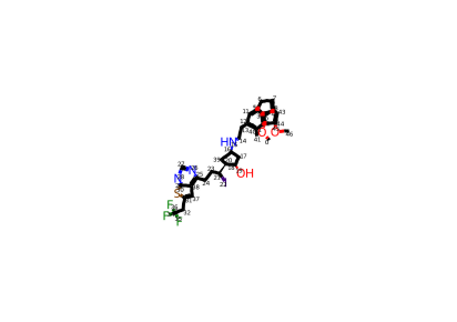 COC1=C(/C)CC/C=C(c2ccc(CCN[C@H]3C[C@@H](O)[C@@H](C(I)CCc4ncnc5sc(CC(F)(F)F)cc45)C3)c(C)c2)/C=C\1OC